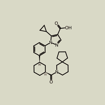 O=C(O)c1cnn(-c2cccc([C@@H]3CCC[C@H](C(=O)N4CCCC5(CCCC5)C4)C3)c2)c1C1CC1